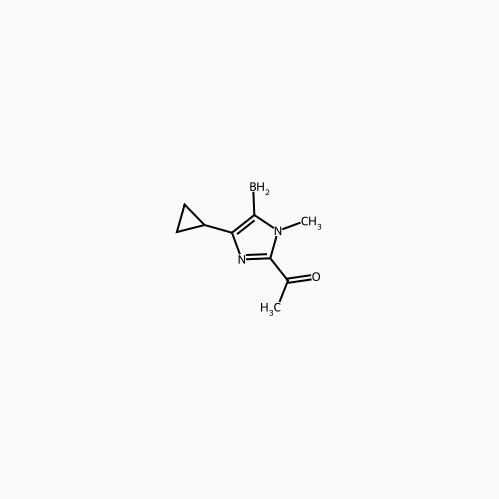 Bc1c(C2CC2)nc(C(C)=O)n1C